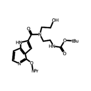 CCCOc1nccc2[nH]c(C(=O)N(CCO)CCNC(=O)OC(C)(C)C)cc12